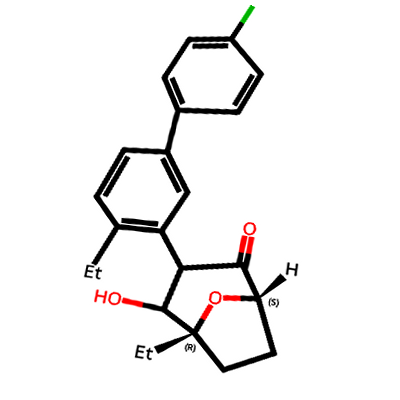 CCc1ccc(-c2ccc(Cl)cc2)cc1C1C(=O)[C@@H]2CC[C@@](CC)(O2)C1O